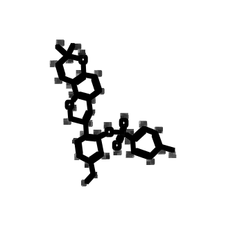 CCc1ccc(C2=Cc3ccc4c(c3OC2)C=CC(C)(C)O4)c(OS(=O)(=O)c2ccc(C)cc2)c1